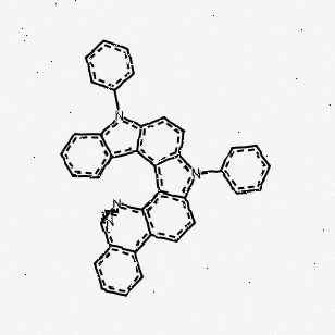 c1ccc(-n2c3ccccc3c3c4c5c(ccc6c7ccccc7c7nccn7c65)n(-c5ccccc5)c4ccc32)cc1